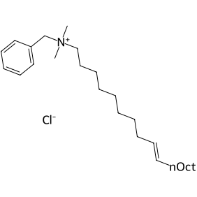 CCCCCCCCC=CCCCCCCCC[N+](C)(C)Cc1ccccc1.[Cl-]